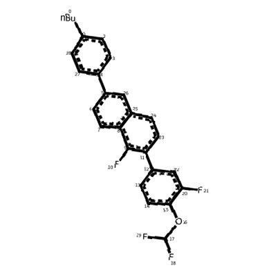 CCCCc1ccc(-c2ccc3c(F)c(-c4ccc(OC(F)F)c(F)c4)ccc3c2)cc1